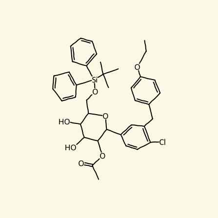 CCOc1ccc(Cc2cc(C3OC(CO[Si](c4ccccc4)(c4ccccc4)C(C)(C)C)C(O)C(O)C3OC(C)=O)ccc2Cl)cc1